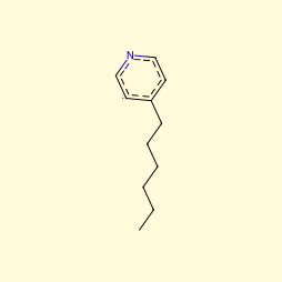 CCCCCCc1[c]cncc1